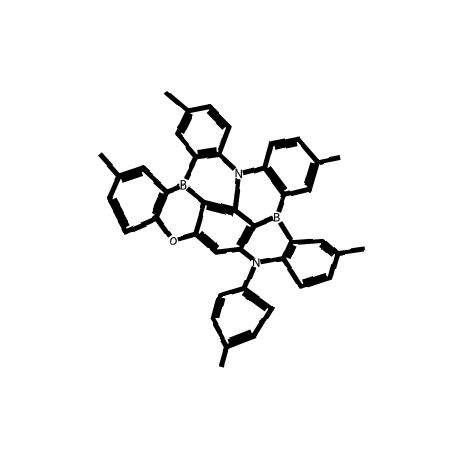 Cc1ccc(N2c3ccc(C)cc3B3c4cc(C)ccc4N4c5ccc(C)cc5B5c6cc(C)ccc6Oc6cc2c3c4c65)cc1